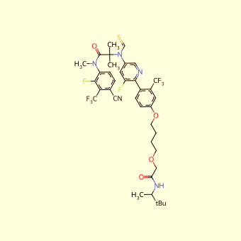 CC(NC(=O)COCCCCOc1ccc(-c2ncc(N(C=S)C(C)(C)C(=O)N(C)c3ccc(C#N)c(C(F)(F)F)c3F)cc2F)c(C(F)(F)F)c1)C(C)(C)C